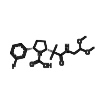 COC(CNC(=O)C(C)(C)[C@H]1CC[C@@H](c2cccc(F)c2)N1C(=O)O)OC